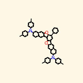 Cc1ccc(N(c2ccc(C)cc2)c2ccc3cc4c(cc3c2)oc2c4cc(-c3ccccc3)c3oc4cc5cc(N(c6ccc(C)cc6)c6ccc(C)cc6)ccc5cc4c32)cc1